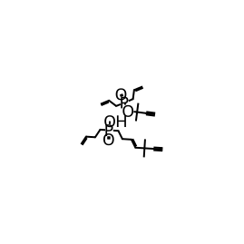 C#CC(C)(C)C=CCCP(=O)(O)CCC=C.C#CC(C)(C)OP(=O)(CC=C)CC=C